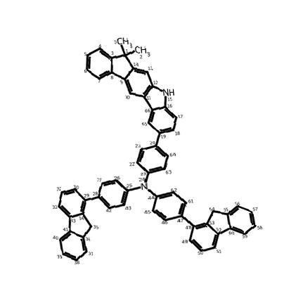 CC1(C)c2ccccc2-c2cc3c(cc21)[nH]c1ccc(-c2ccc(N(c4ccc(-c5cccc6c5Cc5ccccc5-6)cc4)c4ccc(-c5cccc6c5Cc5ccccc5-6)cc4)cc2)cc13